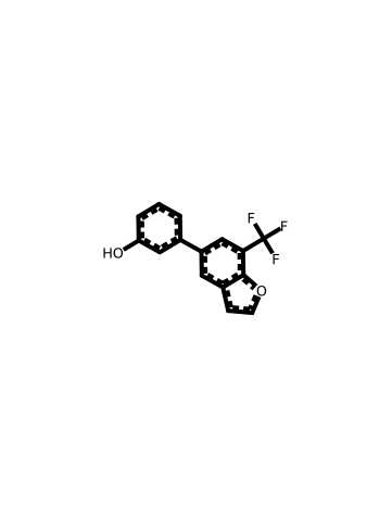 Oc1cccc(-c2cc(C(F)(F)F)c3occc3c2)c1